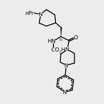 CCCN1CCC(C[C@H](NC(=O)O)C(=O)N2CCN(c3ccncc3)CC2)CC1